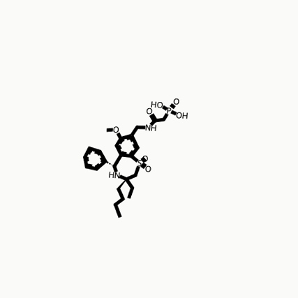 CCCC[C@]1(CC)CS(=O)(=O)c2cc(CNC(=O)CP(=O)(O)O)c(OC)cc2[C@@H](c2ccccc2)N1